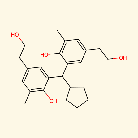 Cc1cc(CCO)cc(C(c2cc(CCO)cc(C)c2O)C2CCCC2)c1O